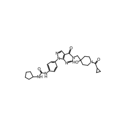 O=C(Nc1ccc(-n2ncc3c(=O)n(CC4(O)CCN(C(=O)C5CC5)CC4)cnc32)cc1)NC1CCCC1